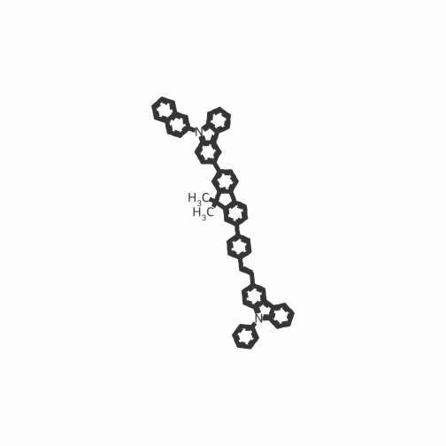 CC1(C)c2cc(-c3ccc(/C=C/c4ccc5c(c4)c4ccccc4n5-c4ccccc4)cc3)ccc2-c2ccc(-c3ccc4c(c3)c3ccccc3n4-c3ccc4ccccc4c3)cc21